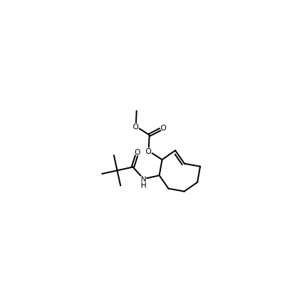 COC(=O)OC1/C=C/CCCCC1NC(=O)C(C)(C)C